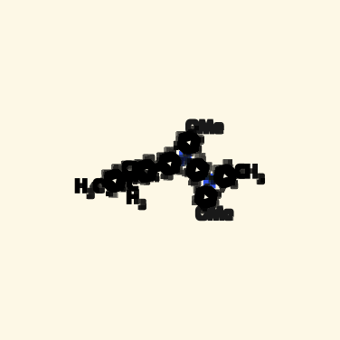 COc1ccc(N(c2ccc(C)cc2)c2ccc(N(c3ccc(OC)cc3)c3ccc(-c4ccc(C(C)(C)c5ccc(C)cc5)cc4)cc3)cc2)cc1